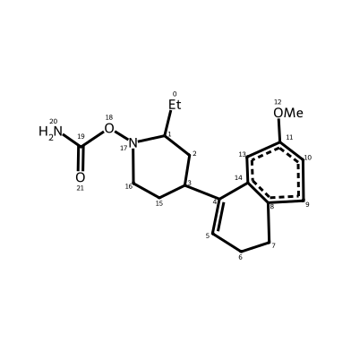 CCC1CC(C2=CCCc3ccc(OC)cc32)CCN1OC(N)=O